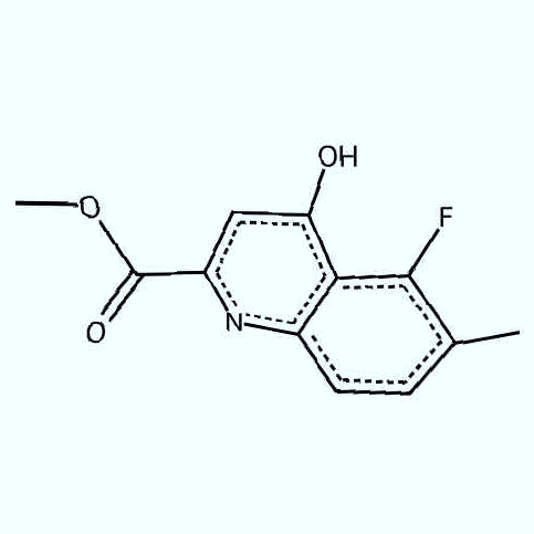 COC(=O)c1cc(O)c2c(F)c(C)ccc2n1